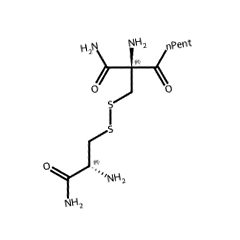 CCCCCC(=O)[C@](N)(CSSC[C@H](N)C(N)=O)C(N)=O